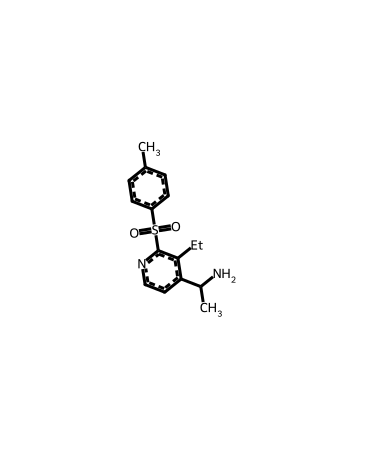 CCc1c(C(C)N)ccnc1S(=O)(=O)c1ccc(C)cc1